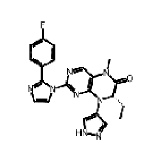 CC[C@H]1C(=O)N(C)c2cnc(-n3ccnc3-c3ccc(F)cc3)nc2N1c1cn[nH]c1